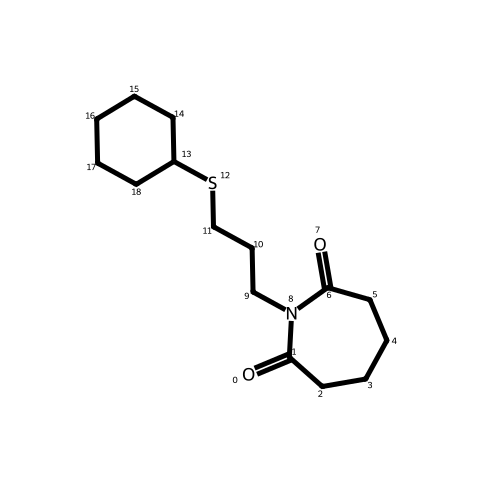 O=C1CCCCC(=O)N1CCCSC1CCCCC1